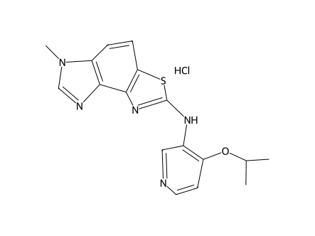 CC(C)Oc1ccncc1Nc1nc2c(ccc3c2ncn3C)s1.Cl